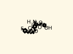 C=C1CN(Cc2ccc(F)cc2)CCN1C(=O)c1cc2c(C(=O)C(=O)N3CC[C@H](O)C3)cn(N)c2cc1Cl